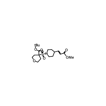 COC(=O)/C=C/C1CCN(S(=O)(=O)C2(C(=O)OC(C)(C)C)CCOCC2)CC1